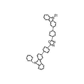 CCn1c2ccccc2c2cc(-c3ccc(-c4nnc(-c5ccc(-c6ccc7c(c6)c6ccccc6n7Cc6ccccc6)cc5)o4)cc3)ccc21